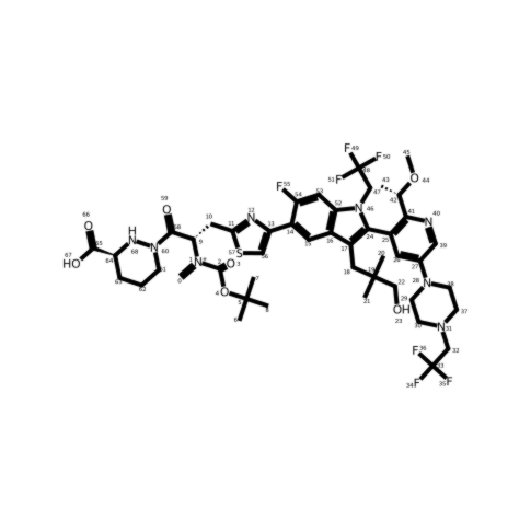 C=[N+](C(=O)OC(C)(C)C)[C@@H](Cc1nc(-c2cc3c(CC(C)(C)CO)c(-c4cc(N5CCN(CC(F)(F)F)CC5)cnc4[C@H](C)OC)n(CC(F)(F)F)c3cc2F)cs1)C(=O)N1CCC[C@@H](C(=O)O)N1